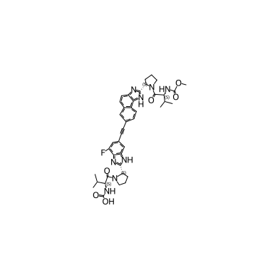 COC(=O)N[C@H](C(=O)N1CCC[C@H]1c1nc2ccc3cc(C#Cc4cc(F)c5nc([C@@H]6CCCN6C(=O)[C@@H](NC(=O)O)C(C)C)[nH]c5c4)ccc3c2[nH]1)C(C)C